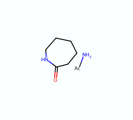 CC(N)=O.O=C1CCCCCN1